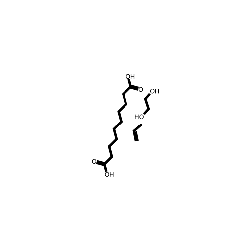 C=CC.O=C(O)CCCCCCCCC(=O)O.OCCO